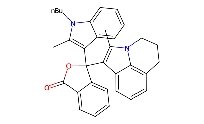 CCCCn1c(C)c(C2(c3c(C)n4c5c(cccc35)CCC4)OC(=O)c3ccccc32)c2ccccc21